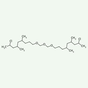 CC(Cl)CC(C)CC(C)CCCOCOCOCCCC(C)CC(C)CC(C)Cl